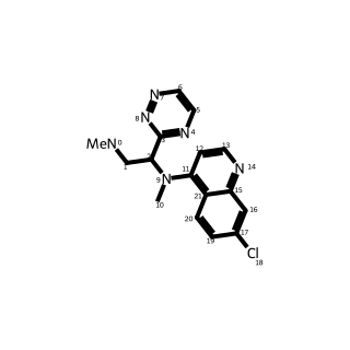 CNCC(c1nccnn1)N(C)c1ccnc2cc(Cl)ccc12